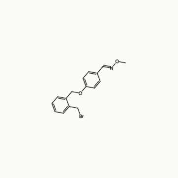 CON=[C]c1ccc(OCc2ccccc2CBr)cc1